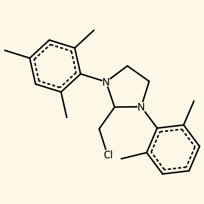 Cc1cc(C)c(N2CCN(c3c(C)cccc3C)C2CCl)c(C)c1